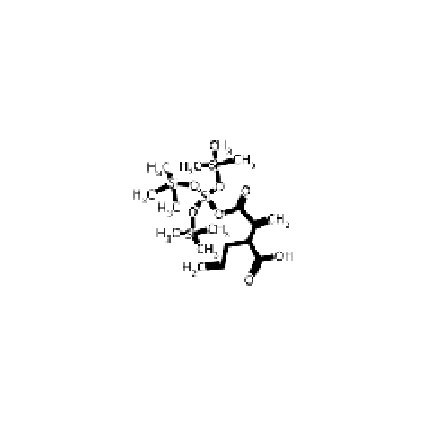 C=CCC(C(=C)C(=O)O[Si](O[Si](C)(C)C)(O[Si](C)(C)C)O[Si](C)(C)C)C(=O)O